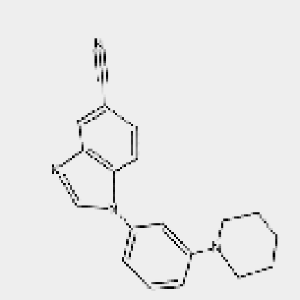 N#Cc1ccc2c(c1)ncn2-c1cccc(N2CCCCC2)c1